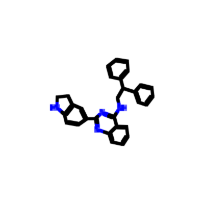 c1ccc(C(CNc2nc(-c3ccc4c(c3)CCN4)nc3ccccc23)c2ccccc2)cc1